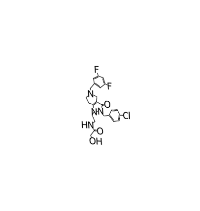 O=C(CO)NCCn1c2c(c(=O)n1Cc1ccc(Cl)cc1)CN(Cc1cc(F)cc(F)c1)CC2